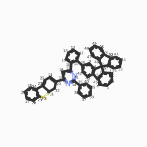 Cc1ccccc1C1(c2cc(-c3ccccc3-c3cc(C4=CC=C5c6ccccc6SC5C4)nc(-c4ccccc4)n3)ccc2C)c2ccccc2-c2ccccc21